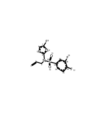 C=CCN(c1ncc(F)s1)S(=O)(=O)c1ccc(F)c(F)c1